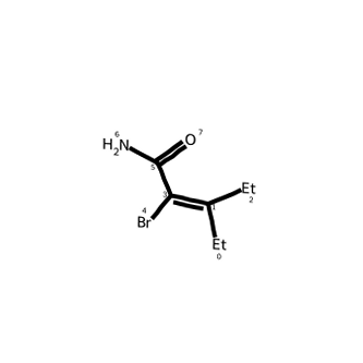 CCC(CC)=C(Br)C(N)=O